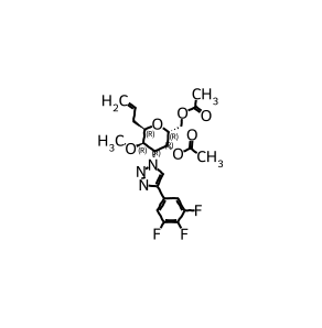 C=CC[C@H]1O[C@H](COC(C)=O)[C@H](OC(C)=O)[C@H](n2cc(-c3cc(F)c(F)c(F)c3)nn2)[C@H]1OC